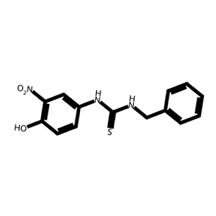 O=[N+]([O-])c1cc(NC(=S)NCc2ccccc2)ccc1O